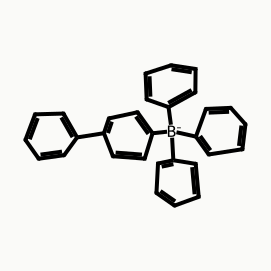 c1ccc(-c2ccc([B-](c3ccccc3)(c3ccccc3)c3ccccc3)cc2)cc1